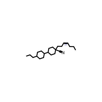 CCC/C=C\CCC1(C#N)CCC(C2CCC(CCC)CC2)CC1